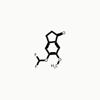 COc1cc2c(cc1OC(F)F)CCC2=O